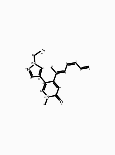 C=C/C=C\C=C(/C)c1cc(=O)n(C)cc1-c1cnn(CC(C)C)c1